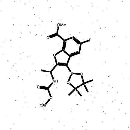 COC(=O)c1cc(F)cc2c(B3OC(C)(C)C(C)(C)O3)c([C@H](C)NC(=O)OC(C)(C)C)oc12